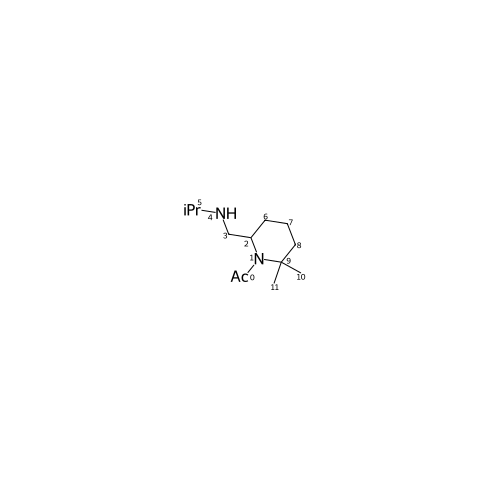 CC(=O)N1C(CNC(C)C)CCCC1(C)C